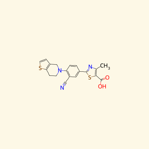 Cc1nc(-c2ccc(N3CCc4sccc4C3)c(C#N)c2)sc1C(=O)O